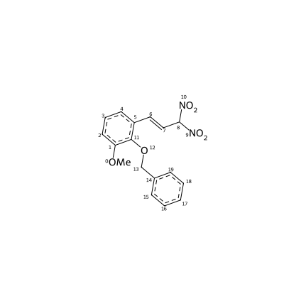 COc1cccc(C=CC([N+](=O)[O-])[N+](=O)[O-])c1OCc1ccccc1